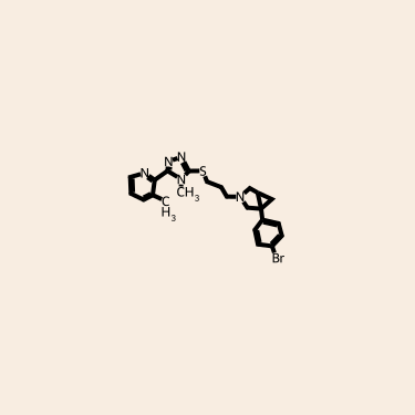 Cc1cccnc1-c1nnc(SCCCN2CC3CC3(c3ccc(Br)cc3)C2)n1C